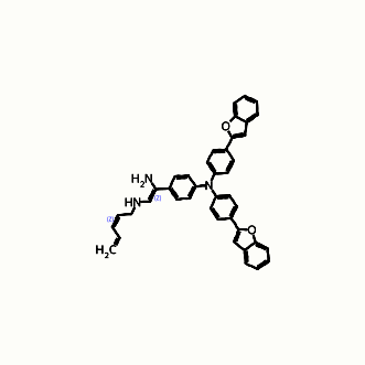 C=C/C=C\CN/C=C(\N)c1ccc(N(c2ccc(-c3cc4ccccc4o3)cc2)c2ccc(-c3cc4ccccc4o3)cc2)cc1